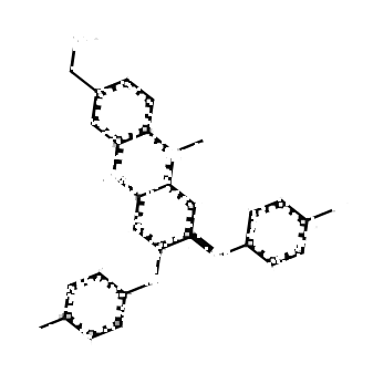 CNCc1ccc2c(c1)nc1cc(Nc3ccc(F)cc3)c(=Nc3ccc(F)cc3)cc-1n2C